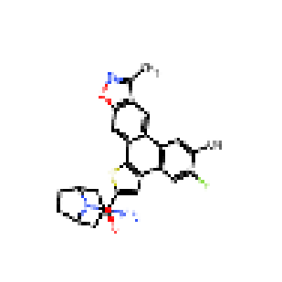 Cc1noc2cc3c(cc12)c1cc(C#N)c(F)cc1c1cc(C(=O)N2C4CCC2CC(N)C4)sc13